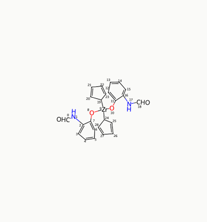 O=CNc1ccccc1[O][Zr]([O]c1ccccc1NC=O)([CH]1C=CC=C1)[CH]1C=CC=C1